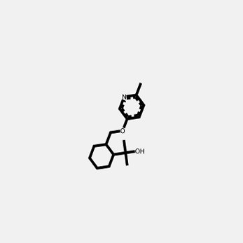 Cc1ccc(OCC2CCCCC2C(C)(C)O)cn1